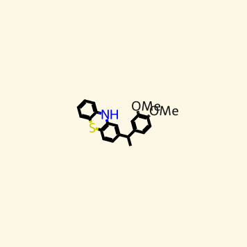 COc1ccc(C(C)c2ccc3c(c2)Nc2ccccc2S3)cc1OC